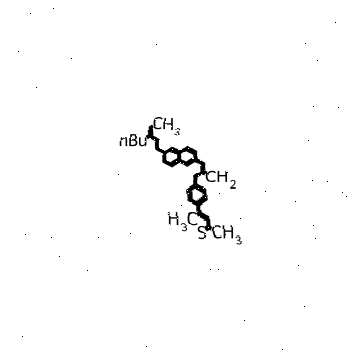 C=C(Cc1ccc(/C(C)=C/C(C)=S)cc1)Cc1ccc2c(c1)=CCC(CC/C(=C\C)CCCC)C=2